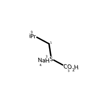 CC(C)CSC(=O)O.[NaH]